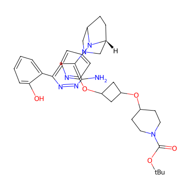 CC(C)(C)OC(=O)N1CCC(OC2CC(Oc3cc(N4C5CC[C@@H]4CN(c4cc(-c6ccccc6O)nnc4N)C5)ccn3)C2)CC1